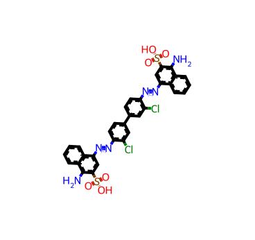 Nc1c(S(=O)(=O)O)cc(/N=N/c2ccc(-c3ccc(/N=N/c4cc(S(=O)(=O)O)c(N)c5ccccc45)c(Cl)c3)cc2Cl)c2ccccc12